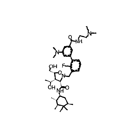 C[C@@H]1[C@@H](NC(=O)[C@@H]2[C@H]([C@H](C)O)[C@H](CO)ON2Cc2cccc(-c3cc(C(=O)NCCN(C)C)cc(N(C)C)c3)c2F)C[C@@H](C)C(C)(C)[C@H]1C